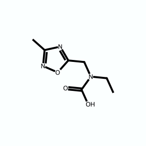 CCN(Cc1nc(C)no1)C(=O)O